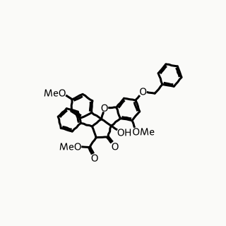 COC(=O)C1C(=O)C2(O)c3c(OC)cc(OCc4ccccc4)cc3OC2(c2ccc(OC)cc2)C1c1ccccc1